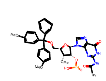 COc1ccc(C(OC[C@H]2O[C@@H](n3cnc4c(=O)[nH]c(NC(=O)C(C)C)nc43)[C@H](O[PH](=O)O)[C@@H]2OC)(c2ccccc2)c2ccc(OC)cc2)cc1